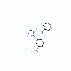 NC(=O)c1ccc2c(c1)-c1[nH]ncc1NC(c1c(F)cccc1F)=N2